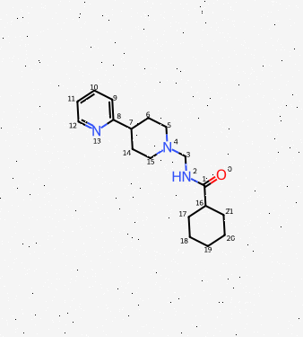 O=C(NCN1CCC(c2ccccn2)CC1)C1CCCCC1